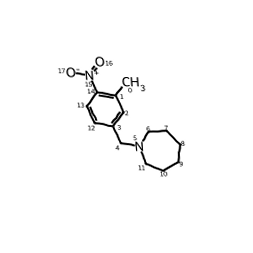 Cc1cc(CN2CCCCCC2)ccc1[N+](=O)[O-]